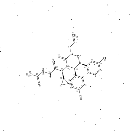 C=CC[C@@H]1O[C@@H](c2cccc(Cl)c2)[C@@H](c2ccc(Cl)cc2)N([C@H](C(=O)NNC(C)=O)C2CC2)C1=O